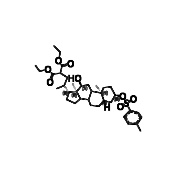 CCOC(=O)C(CC(C)[C@H]1CCC2C3CC[C@@H]4C[C@H](OS(=O)(=O)c5ccc(C)cc5)CC[C@]4(C)C3C[C@H](O)[C@@]21C)C(=O)OCC